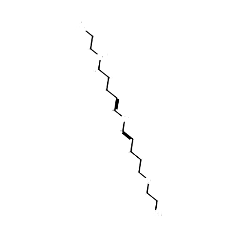 OCCOCCCC=COC=CCCCOCCO